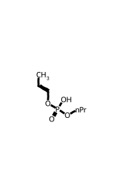 CC=COP(=O)(O)OCCC